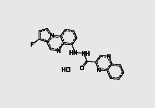 Cl.O=C(NNc1cccc2c1ncc1c(F)ccn12)c1cnc2ccccc2n1